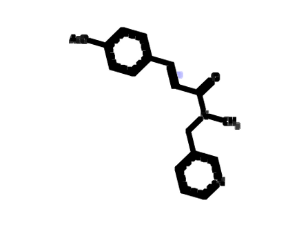 CC(=O)Oc1ccc(/C=C/C(=O)N(C)Cc2cccnc2)cc1